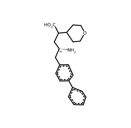 N[C@H](Cc1ccc(-c2ccccc2)cc1)CC(C(=O)O)C1CCOCC1